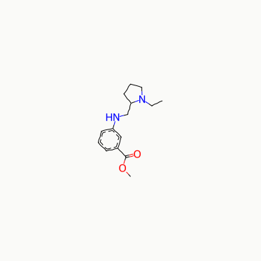 CCN1CCCC1CNc1cccc(C(=O)OC)c1